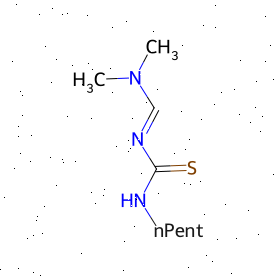 CCCCCNC(=S)N=CN(C)C